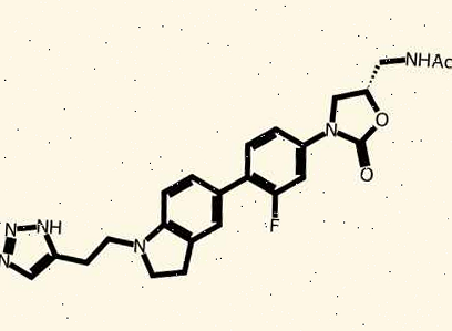 CC(=O)NC[C@H]1CN(c2ccc(-c3ccc4c(c3)CCN4CCc3cnn[nH]3)c(F)c2)C(=O)O1